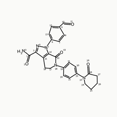 NC(=O)c1nn(-c2ccc(C=O)cc2)c2c1CCN(c1ccc(N3CCCCC3=O)cc1)C2=O